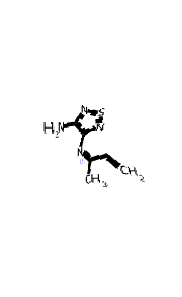 C=C/C(C)=N\c1nsnc1N